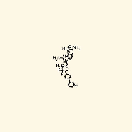 C=C(/C=C(\N=C(N)N)c1ccc(CC(N)S(=O)(=O)O)cc1)OC(c1ccc(-c2cccc(F)c2)cc1)C(F)(F)F